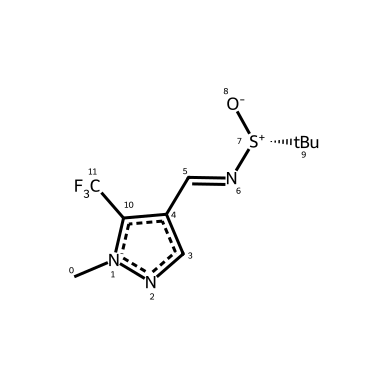 Cn1ncc(/C=N/[S@+]([O-])C(C)(C)C)c1C(F)(F)F